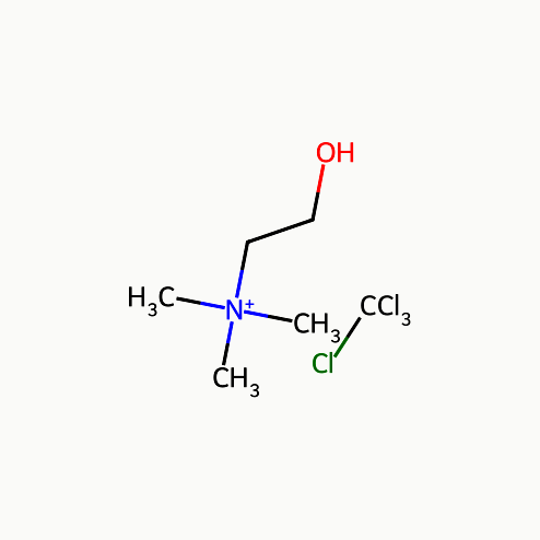 C[N+](C)(C)CCO.ClC(Cl)(Cl)Cl